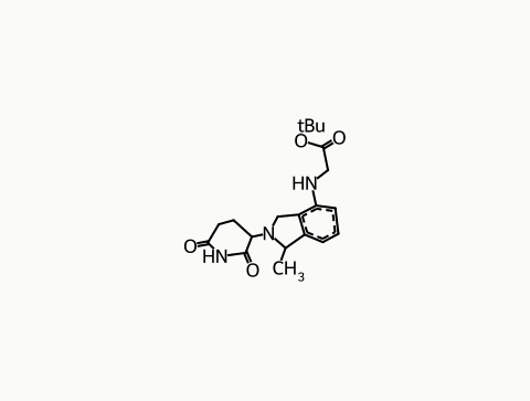 CC1c2cccc(NCC(=O)OC(C)(C)C)c2CN1C1CCC(=O)NC1=O